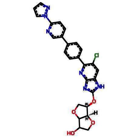 OC1CO[C@H]2C1OC[C@H]2Oc1nc2nc(-c3ccc(-c4ccc(-n5cccn5)nc4)cc3)c(Cl)cc2[nH]1